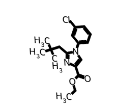 CCOC(=O)c1cn(-c2cccc(Cl)c2)c(CC(C)(C)C)n1